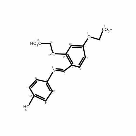 O=C(O)COc1ccc(C=Nc2ccc(O)cc2)c(OCC(=O)O)c1